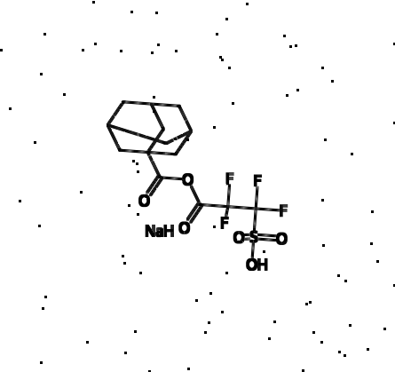 O=C(OC(=O)C(F)(F)C(F)(F)S(=O)(=O)O)C12CC3CC(CC(C3)C1)C2.[NaH]